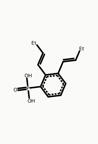 CCC=Cc1cccc(P(=O)(O)O)c1C=CCC